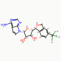 Nc1ncnc2c1ccn2[C@@H]1O[C@H]([C@@H]2OCc3cc(C(F)(F)F)ccc32)[C@@H](O)[C@H]1O